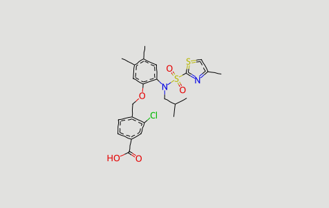 Cc1csc(S(=O)(=O)N(CC(C)C)c2cc(C)c(C)cc2OCc2ccc(C(=O)O)cc2Cl)n1